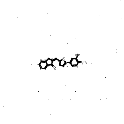 Cc1ccc(-c2ccc(C=C3Cc4ccccc4C3=O)o2)cc1Br